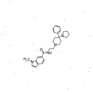 Cn1ccc2ccc(C(=O)NCCN3CCC(c4ccccc4)(N4CCCC4)CC3)cc21